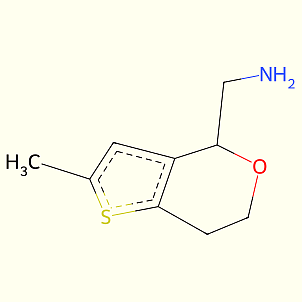 Cc1cc2c(s1)CCOC2CN